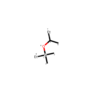 [CH2]C[Si](C)(C)OC(C)CC